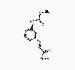 COC(=O)/C=C/c1cccc(NC(=O)OC(C)(C)C)n1